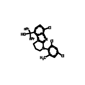 CCCC(O)(CCC)c1ccc(Cl)c2nc3n(c12)CCCN3c1c(C)cc(Cl)cc1Cl